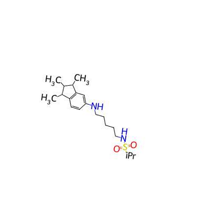 CC1c2ccc(NCCCCCNS(=O)(=O)C(C)C)cc2C(C)C1C